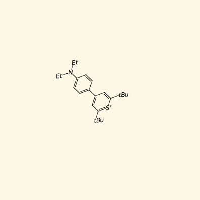 CCN(CC)c1ccc(-c2cc(C(C)(C)C)[s+]c(C(C)(C)C)c2)cc1